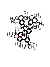 CCc1ccc2c3c1N(c1ccc4c(c1)C(C)(C)CCC4(C)C)c1c(sc4cc5c(cc14)C(C)(C)CCC5(C)C)B3c1cc(C(C)(C)C)ccc1N2c1ccc(C(C)(C)C)cc1-c1c(C)cccc1C